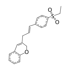 CCS(=O)(=O)c1ccc(C=CCC2=Cc3ccccc3OC2)cc1